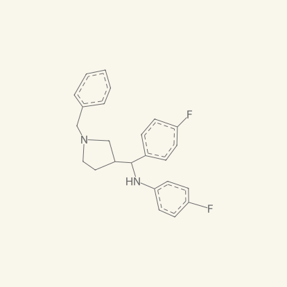 Fc1ccc(NC(c2ccc(F)cc2)C2CCN(Cc3ccccc3)C2)cc1